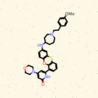 COc1ccc(CCN2CCCC(Nc3ccc4c(c3)Sc3cccc(-c5cc(N6CCOCC6)cc(=O)[nH]5)c3O4)CC2)cc1